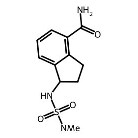 CNS(=O)(=O)NC1CCc2c(C(N)=O)cccc21